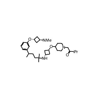 CN[C@H]1C[C@H](Oc2cccc(C(C)CCC(C)(C)N[C@H]3C[C@H](OC4CCN(CC(=O)C(C)C)CC4)C3)c2)C1